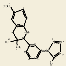 CCOC(=O)c1ccc2c(c1)CC(C)(C)C(c1cccc(-n3nnnc3CC)c1)N2